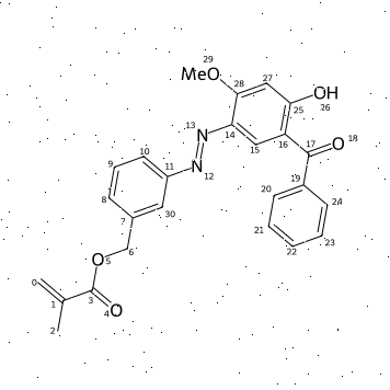 C=C(C)C(=O)OCc1cccc(/N=N/c2cc(C(=O)c3ccccc3)c(O)cc2OC)c1